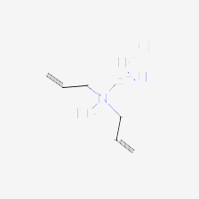 C=CC[N+](CC)(CC)CC=C.Cl.N.[Cl-]